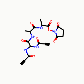 C#CC(=O)NC(NC(=O)C#C)C(=O)NC(C)C(=O)NC(C)C(=O)ON1C(=O)CCC1=O